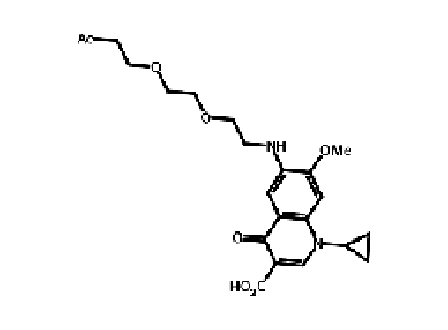 COc1cc2c(cc1NCCOCCOCCC(C)=O)c(=O)c(C(=O)O)cn2C1CC1